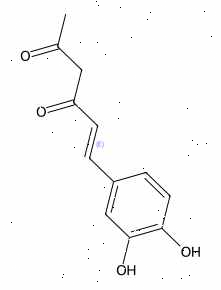 CC(=O)CC(=O)/C=C/c1ccc(O)c(O)c1